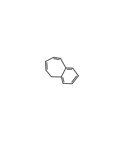 [C]1=CC=CCc2ccccc21